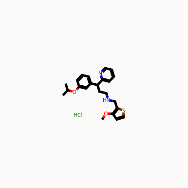 COc1ccsc1CNCCC(c1cccc(OC(C)C)c1)c1ccccn1.Cl